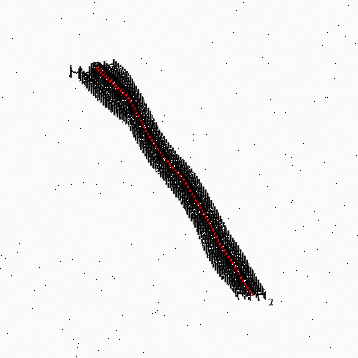 PPPPPPPPPPPPPPPPPPPPPPPPPPPPPPPPPPPPPPPPPPPPPPPPPPPPPPPPPPPPPPPPPPPPPPPPPPPPPPPPPPPPPPPPPPPPPPPPPPPPPPPPPPPPPPPPPPPPPPPPPPPPPPPPPPPPPPPPPPPPPPPPPP